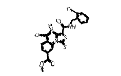 COC(=O)c1ccc2c(=O)[nH]c3c(C(=O)NCc4ccccc4Cl)sc(=S)n3c2c1